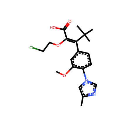 COc1cc(C(=C(OCCCl)C(=O)O)C(C)(C)C)ccc1-n1cnc(C)c1